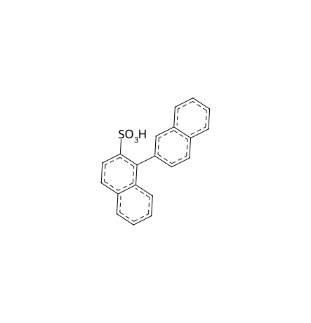 O=S(=O)(O)c1ccc2ccccc2c1-c1ccc2ccccc2c1